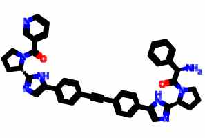 N[C@@H](C(=O)N1CCC[C@H]1c1ncc(-c2ccc(C#Cc3ccc(-c4cnc([C@@H]5CCCN5C(=O)c5cccnc5)[nH]4)cc3)cc2)[nH]1)c1ccccc1